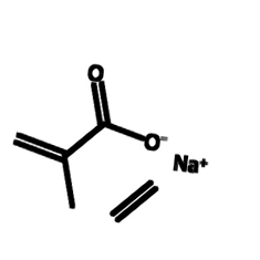 C=C.C=C(C)C(=O)[O-].[Na+]